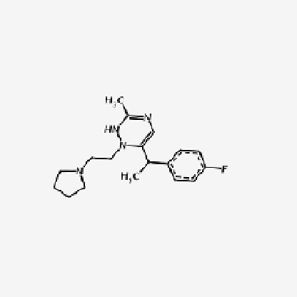 CC1=NC=C(C(C)c2ccc(F)cc2)N(CCN2CCCC2)N1